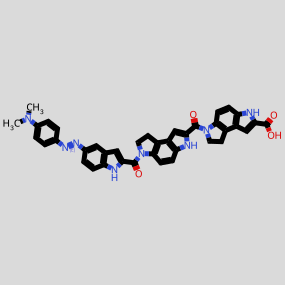 CN(C)c1ccc(/N=N/c2ccc3[nH]c(C(=O)N4CCc5c4ccc4[nH]c(C(=O)N6CCc7c6ccc6[nH]c(C(=O)O)cc76)cc54)cc3c2)cc1